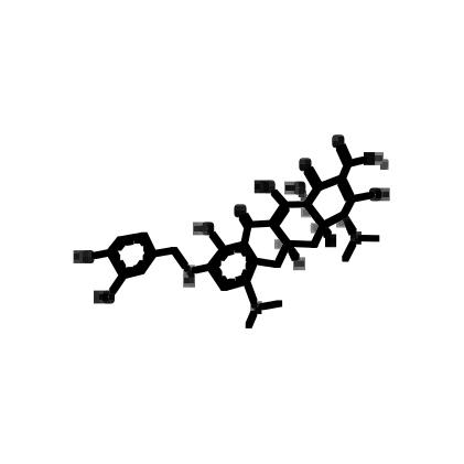 CN(C)c1cc(NCc2ccc(O)c(O)c2)c(O)c2c1C[C@H]1C[C@H]3[C@H](N(C)C)C(O)=C(C(N)=O)C(=O)[C@]3(O)C(O)=C1C2=O